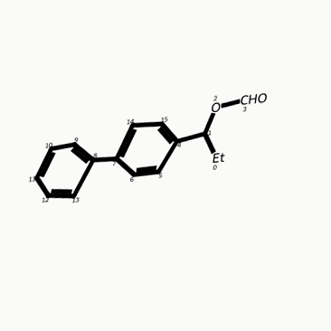 CCC(OC=O)c1ccc(-c2ccccc2)cc1